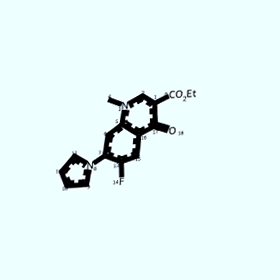 CCOC(=O)c1cn(C)c2cc(-n3cccc3)c(F)cc2c1=O